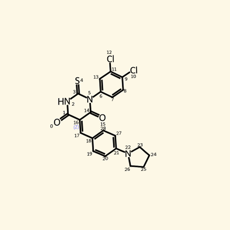 O=C1NC(=S)N(c2ccc(Cl)c(Cl)c2)C(=O)/C1=C\c1ccc(N2CCCC2)cc1